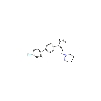 CC(=CCN1CCCCC1)c1ccc(-c2ccc(F)cc2F)cc1